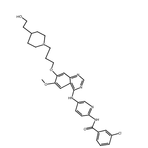 COc1cc2c(Nc3ccc(NC(=O)c4cccc(Cl)c4)nc3)ncnc2cc1OCCCN1CCC(CCO)CC1